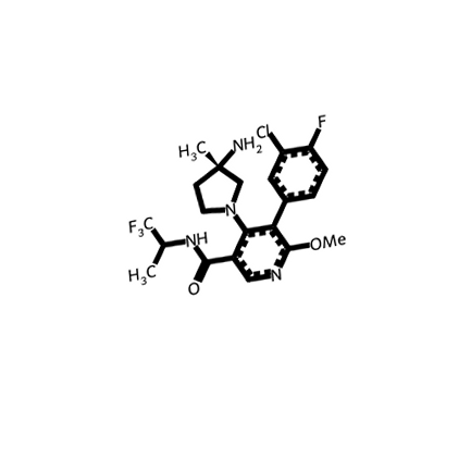 COc1ncc(C(=O)NC(C)C(F)(F)F)c(N2CC[C@](C)(N)C2)c1-c1ccc(F)c(Cl)c1